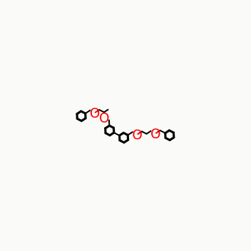 CC(COCc1ccccc1)OCc1cccc(-c2cccc(COCCCOCc3ccccc3)c2)c1